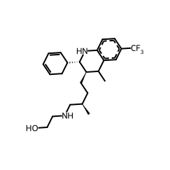 CC1c2cc(C(F)(F)F)ccc2N[C@@H](C2C=CC=CC2)[C@@H]1CC[C@@H](C)CNCCO